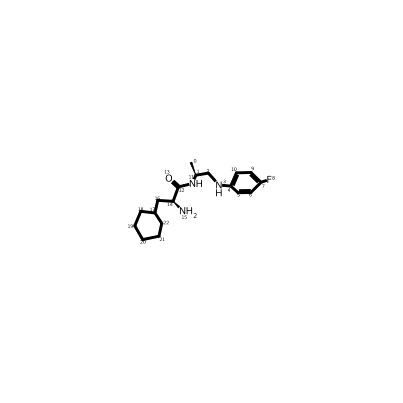 C[C@@H](CNc1ccc(F)cc1)NC(=O)[C@@H](N)CC1CCCCC1